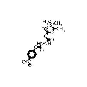 CC(OC(=O)OC(=O)NNC(=O)Oc1ccc([N+](=O)[O-])cc1)[Si](C)(C)C